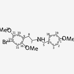 COc1ccc(CNCCc2cc(OC)c(Br)cc2OC)cc1